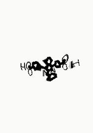 O=C(O)c1ccc(-c2c3ccccc3c(-c3ccc(C(=O)O)cc3)c3nc4ccccc4nc23)cc1